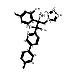 Cc1ccc(-c2ccc(C(F)(F)[C@@](O)(Cn3cnnn3)c3ccc(C)cc3F)nc2)cc1